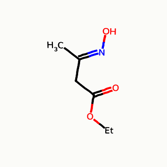 CCOC(=O)CC(C)=NO